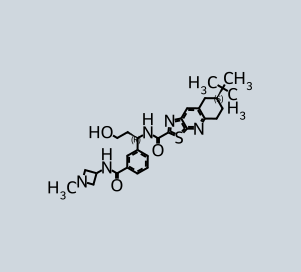 CN1CC(NC(=O)c2cccc([C@@H](CCO)NC(=O)c3nc4cc5c(nc4s3)CC[C@H](C(C)(C)C)C5)c2)C1